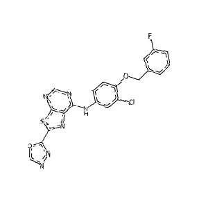 Fc1cccc(COc2ccc(Nc3ncnc4sc(-c5nnco5)nc34)cc2Cl)c1